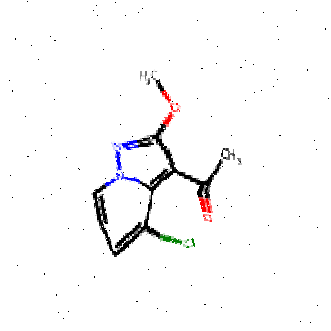 COc1nn2cccc(Cl)c2c1C(C)=O